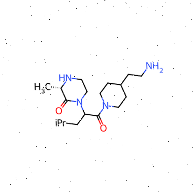 CC(C)CC(C(=O)N1CCC(CCN)CC1)N1CCN[C@@H](C)C1=O